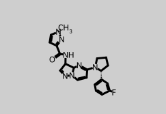 Cn1ccc(C(=O)NC2C=NN3C=CC(N4CCC[C@@H]4c4cccc(F)c4)=NC23)n1